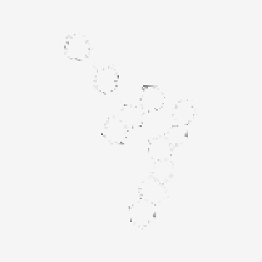 c1ccc(-c2ccc(-c3c4ccccc4c(-c4cc5c6cc7ccccc7cc6sc5c5sc6ccccc6c45)c4ccccc34)cc2)cc1